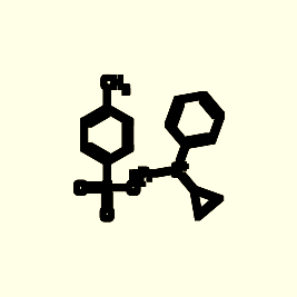 CCC[S+](c1ccccc1)C1CC1.Cc1ccc(S(=O)(=O)[O-])cc1